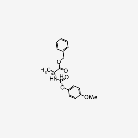 COc1ccc(O[PH](=O)N[C@@H](C)C(=O)OCc2ccccc2)cc1